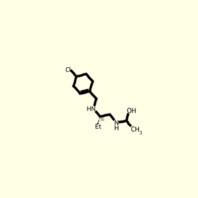 CC[C@@H](CNC(C)O)NCC1=CCC(Cl)CC1